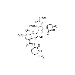 CCCCCCCCCC(=O)O[C@@H]1[C@H](OC)[C@@H]([C@@H](O[C@H]2OC(C(=O)N[C@H]3CCC[C@@H](C)NC3=O)=C[C@H](OC(C)=O)[C@@H]2O)C(N)=O)O[C@H]1n1ccc(=O)[nH]c1=O